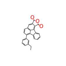 CCc1cccc(-c2ccc3cc4c(c5c3c2-c2ccccc2-5)C(=O)OC4=O)c1